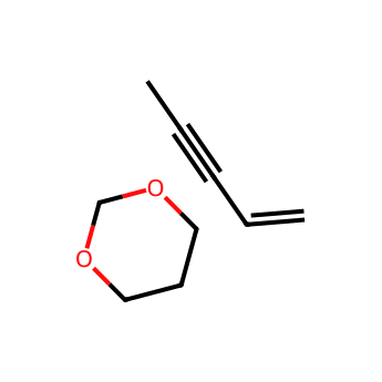 C1COCOC1.C=CC#CC